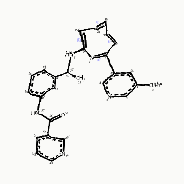 COc1cncc(C2=N/C(N[C@@H](C)c3cccc(NC(=O)c4cccnc4)c3)=C\C=C\C=C\2)c1